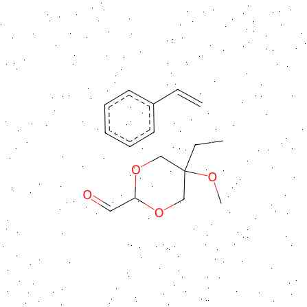 C=Cc1ccccc1.CCC1(OC)COC(C=O)OC1